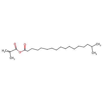 C=C(C)C(=O)OC(=O)CCCCCCCCCCCCCCC(C)C